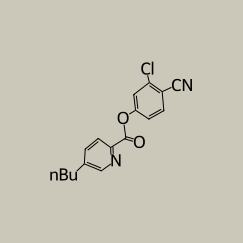 CCCCc1ccc(C(=O)Oc2ccc(C#N)c(Cl)c2)nc1